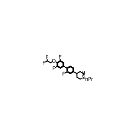 CCC[SiH]1CCC(c2ccc(-c3cc(F)c(OCC(F)F)c(F)c3)c(F)c2)CC1